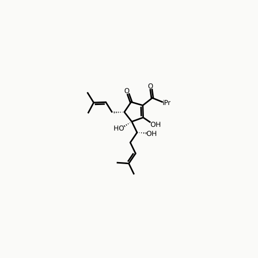 CC(C)=CC[C@@H](O)[C@]1(O)C(O)=C(C(=O)C(C)C)C(=O)[C@H]1CC=C(C)C